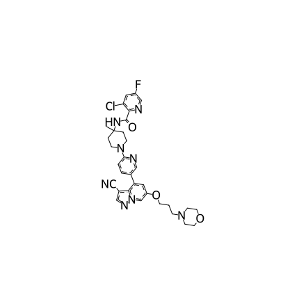 CC1(NC(=O)c2ncc(F)cc2Cl)CCN(c2ccc(-c3cc(OCCCN4CCOCC4)cn4ncc(C#N)c34)cn2)CC1